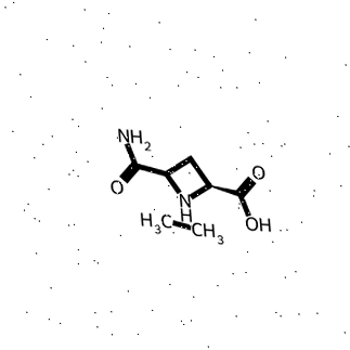 CC.NC(=O)C1C[C@@H](C(=O)O)N1